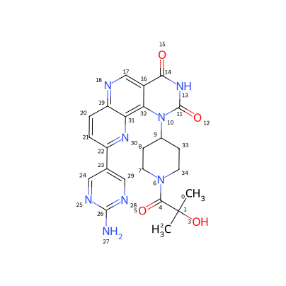 CC(C)(O)C(=O)N1CCC(n2c(=O)[nH]c(=O)c3cnc4ccc(-c5cnc(N)nc5)nc4c32)CC1